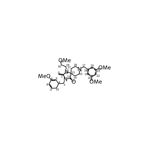 C=C1N(CC2C=C(OC)C=CC2)C(=O)C2(CCN(Cc3cc(OC)cc(OC)c3)CC2)N1CCOC